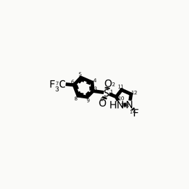 O=S(=O)(c1ccc(C(F)(F)F)cc1)C1CCN(F)N1